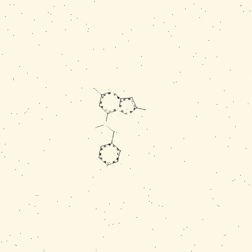 CCOC(=O)c1cc2nc(Cl)cc(N(C)Cc3ccccc3)n2n1